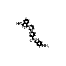 Nc1ccc(CNC(=O)c2ccc(N3CCCN(C(=O)c4ccccc4C(=O)O)C3)nc2)cc1